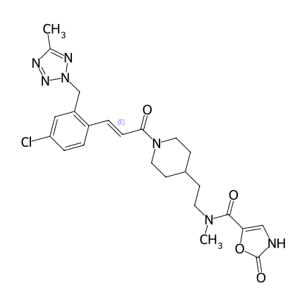 Cc1nnn(Cc2cc(Cl)ccc2/C=C/C(=O)N2CCC(CCN(C)C(=O)c3c[nH]c(=O)o3)CC2)n1